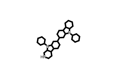 C1CCC(N2C3CCCCC3C3CCC(C4CCC5C6CCNCC6N(C6CCCCC6)C5C4)CC32)CC1